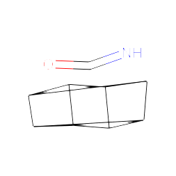 C12C3C4C1C1C2C3C41.N=C=O